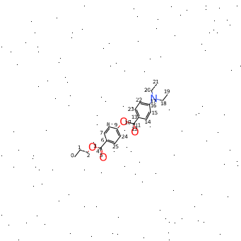 CCCOC(=O)c1ccc(OC(=O)c2ccc(N(CC)CC)cc2)cc1